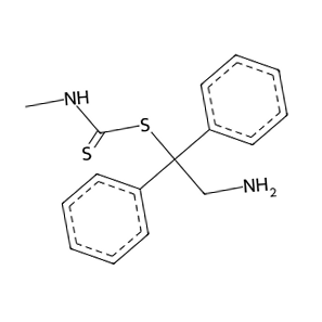 CNC(=S)SC(CN)(c1ccccc1)c1ccccc1